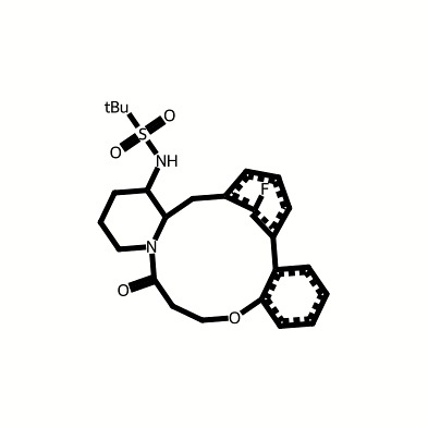 CC(C)(C)S(=O)(=O)NC1CCCN2C(=O)CCOc3ccccc3-c3cccc(c3F)CC12